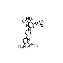 N#CC1(COc2nc(C(N)=O)nc(N3CCC(c4ccc(N)c(C(N)=O)n4)CC3)n2)CC1